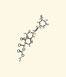 CCOC(=O)OC(=O)c1cnc2cc(C#Cc3cccc(F)c3)ccn2c1=O